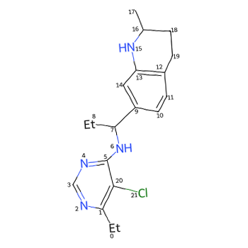 CCc1ncnc(NC(CC)c2ccc3c(c2)NC(C)CC3)c1Cl